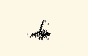 CCCCCCCCC1=C(CCCCCC)C(CC)=[C]([Ti+2]([NH]C(=O)C2CC3CCC2C3)[SiH](C)C)C1C.[Cl-].[Cl-]